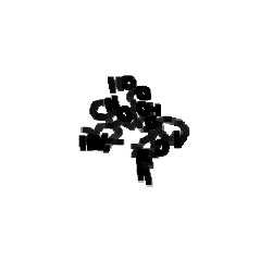 CC1(C)CC(CCC(CCCC(=O)O)(CCC2(c3ccccnc3=O)CC(C)(C)NC(C)(C)C2)C(=O)O)(c2ccccnc2=O)CC(C)(C)N1